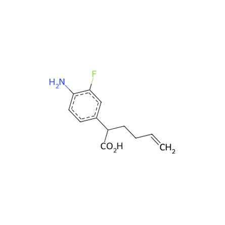 C=CCCC(C(=O)O)c1ccc(N)c(F)c1